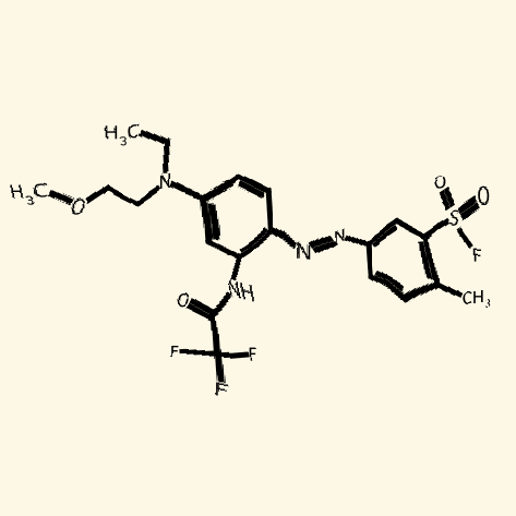 CCN(CCOC)c1ccc(/N=N/c2ccc(C)c(S(=O)(=O)F)c2)c(NC(=O)C(F)(F)F)c1